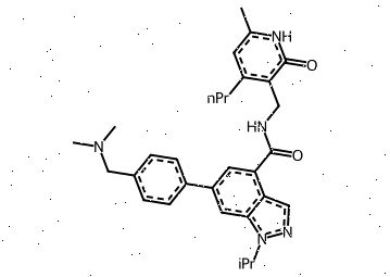 CCCc1cc(C)[nH]c(=O)c1CNC(=O)c1cc(-c2ccc(CN(C)C)cc2)cc2c1cnn2C(C)C